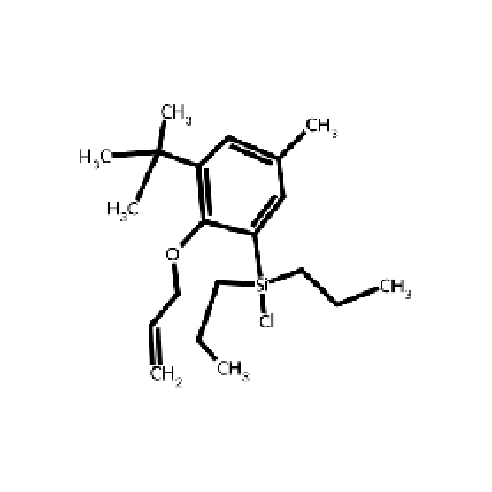 C=CCOc1c(C(C)(C)C)cc(C)cc1[Si](Cl)(CCC)CCC